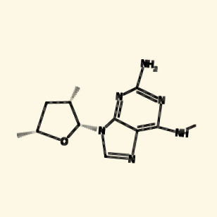 CNc1nc(N)nc2c1ncn2[C@@H]1O[C@H](C)C[C@@H]1C